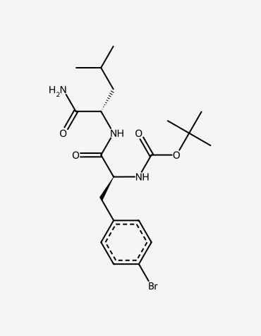 CC(C)C[C@H](NC(=O)[C@H](Cc1ccc(Br)cc1)NC(=O)OC(C)(C)C)C(N)=O